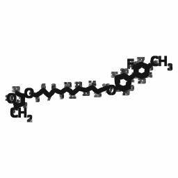 C=C1CC(OCCCCCCCCCCCCOc2ccc(-c3ccc(C)cc3F)cc2)CO1